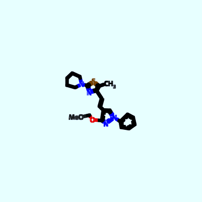 COCOc1nn(-c2ccccc2)cc1C=Cc1nc(N2CCCCC2)sc1C